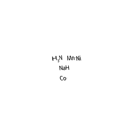 N.[Co].[Mn].[NaH].[Ni]